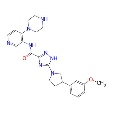 COc1cccc(C2CCN(c3nc(C(=O)Nc4cnccc4N4CCNCC4)n[nH]3)C2)c1